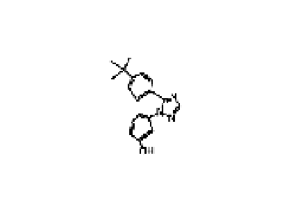 CC(C)(C)c1ccc(-c2ncnn2-c2cccc(O)c2)cc1